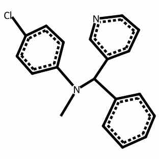 CN(c1ccc(Cl)cc1)C(c1ccccc1)c1cccnc1